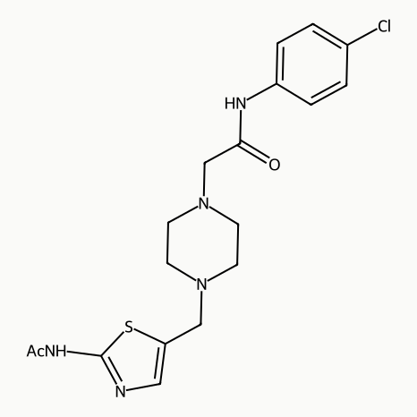 CC(=O)Nc1ncc(CN2CCN(CC(=O)Nc3ccc(Cl)cc3)CC2)s1